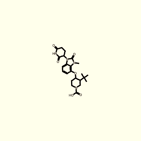 Cn1c(=O)n(C2CCC(=O)NC2=O)c2cccc(OC3CCN(C(=O)O)CC3C(C)(C)C)c21